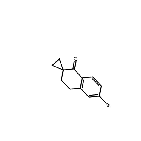 O=C1c2ccc(Br)cc2CCC12CC2